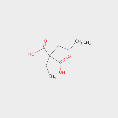 C.CCCC(CC)(C(=O)O)C(=O)O